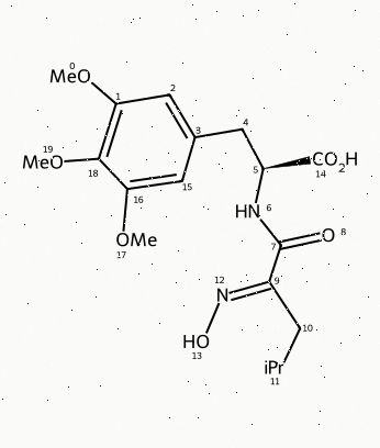 COc1cc(C[C@H](NC(=O)C(CC(C)C)=NO)C(=O)O)cc(OC)c1OC